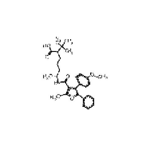 COc1ccc(-c2c(-c3ccccc3)oc(C)c2C(=O)N[C@H](C)CCCC(C(=O)O)C(C)(C)C)cc1